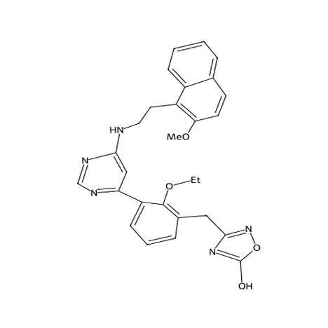 CCOc1c(Cc2noc(O)n2)cccc1-c1cc(NCCc2c(OC)ccc3ccccc23)ncn1